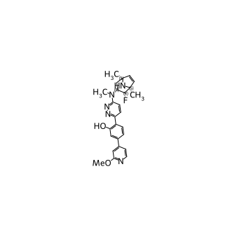 COc1cc(-c2ccc(-c3ccc(N(C)[C@@H]4C[C@@]5(C)C=C[C@](C)(N5)[C@@H]4F)nn3)c(O)c2)ccn1